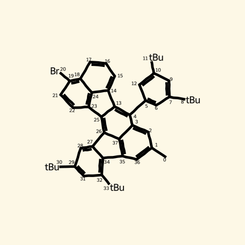 Cc1cc2c(-c3cc(C(C)(C)C)cc(C(C)(C)C)c3)c3c4cccc5c(Br)ccc(c54)c3c3c4cc(C(C)(C)C)cc(C(C)(C)C)c4c(c1)c23